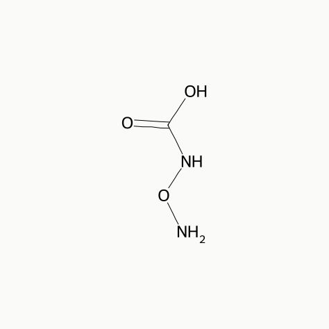 NONC(=O)O